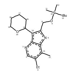 CCc1cnc2c(nc(CO[Si](C)(C)C(C)(C)C)n2C2CCCCO2)c1C